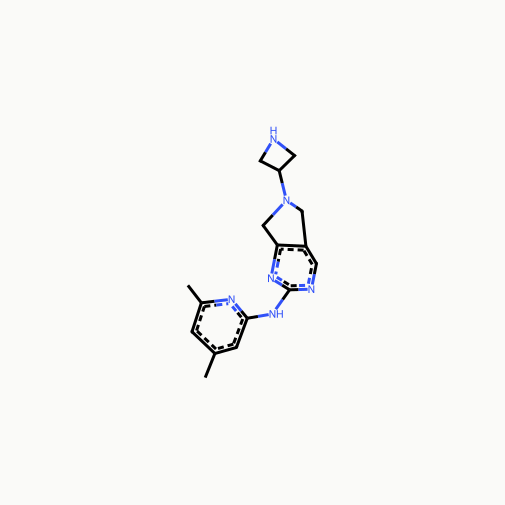 Cc1cc(C)nc(Nc2ncc3c(n2)CN(C2CNC2)C3)c1